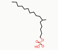 CCCCCCCCCCC(C)CCCCCOS(=O)(=O)O